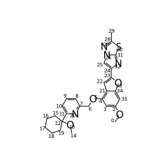 COc1cc(OCc2cccc(C3(OC)CCCCC3)n2)c2cc(-c3cn4nc(C)sc4n3)oc2c1